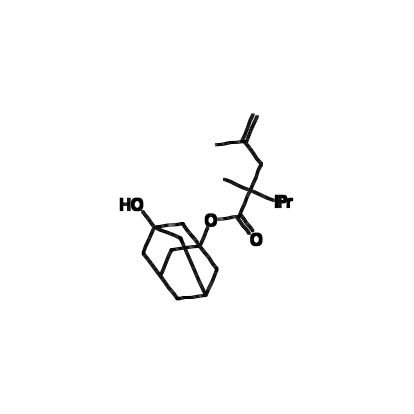 C=C(C)CC(C)(C(=O)OC12CC3CC(CC(O)(C3)C1)C2)C(C)C